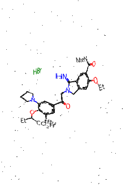 Br.CCOc1cc2c(cc1C(=O)NC)C(=N)N(CC(=O)c1cc(N3CCCC3)c(OC(CC)C(=O)O)c(C(C)(C)C)c1)C2